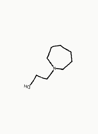 OCCN1CCCCCC1